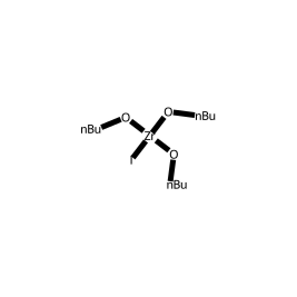 CCCC[O][Zr]([I])([O]CCCC)[O]CCCC